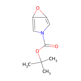 CC(C)(C)OC(=O)n1cc2c(c1)O2